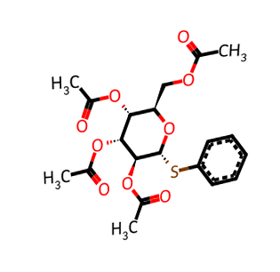 CC(=O)OC[C@H]1O[C@H](Sc2ccccc2)[C@@H](OC(C)=O)[C@H](OC(C)=O)[C@@H]1OC(C)=O